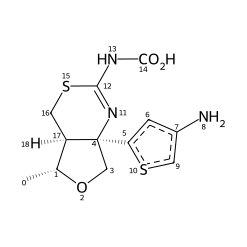 C[C@H]1OC[C@]2(c3cc(N)cs3)N=C(NC(=O)O)SC[C@H]12